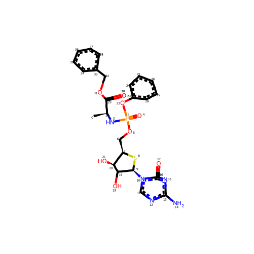 C[C@H](NP(=O)(OC[C@H]1S[C@@H](n2cnc(N)nc2=O)C(O)[C@H]1O)Oc1ccccc1)C(=O)OCc1ccccc1